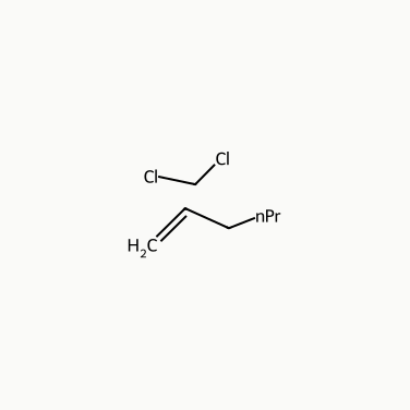 C=CCCCC.ClCCl